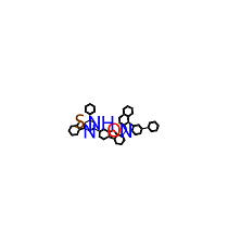 c1ccc(-c2ccc3c(c2)c2c4ccccc4ccc2n3-c2cccc3c2oc2cc(C4=Nc5c(sc6ccccc56)C(c5ccccc5)N4)ccc23)cc1